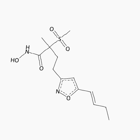 CCC=Cc1cc(CCC(C)(C(=O)NO)S(C)(=O)=O)no1